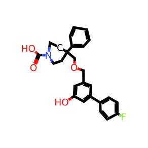 O=C(O)N1CCC(COCc2cc(O)cc(-c3ccc(F)cc3)c2)(c2ccccc2)CC1